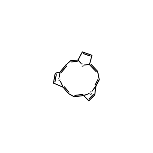 c1cc2ccc3ccc(ccc4ccc(ccc1s2)s4)s3